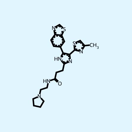 Cc1csc(-c2nc(CCC(=O)NCCN3CCCC3)[nH]c2-c2ccc3ncsc3c2)n1